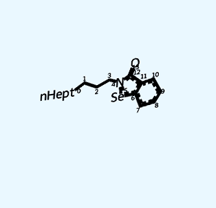 CCCCCCCCCCn1[se]c2ccccc2c1=O